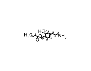 CCCC(=O)OOc1ccc(CCCN)cc1.Cl